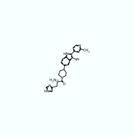 Cc1cc(-c2[nH]c3ccc(C4CCN(C(=O)[C@@H](N)Cc5c[nH]cn5)CC4)cc3c2C(C)C)ccn1